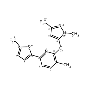 Cc1cnc(-c2ccc(C(F)(F)F)s2)nc1Oc1cc(C(F)(F)F)nn1C